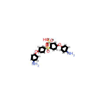 Nc1ccc(Oc2ccc(S(=O)(=O)c3ccc(Oc4ccc(N)cc4)cc3S(=O)(=O)O)cc2)cc1